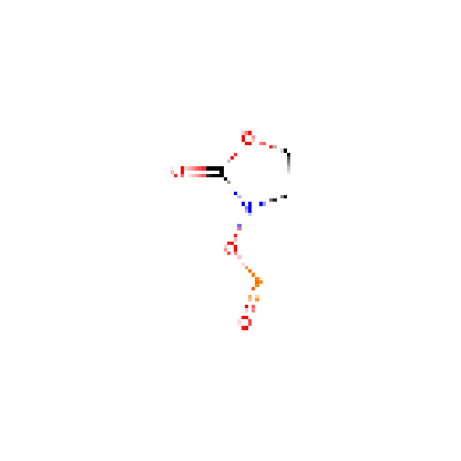 O=PON1CCOC1=O